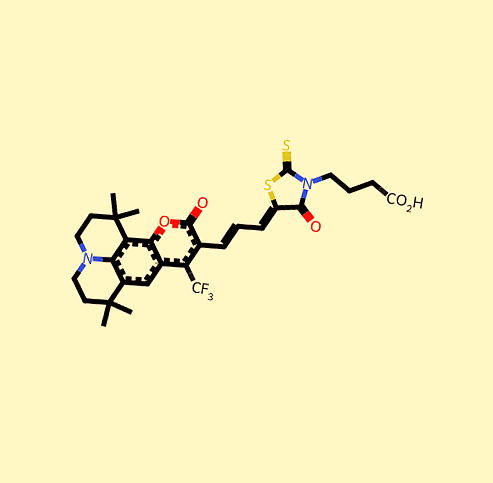 CC1(C)CCN2CCC(C)(C)c3c2c1cc1c(C(F)(F)F)c(C=CC=C2SC(=S)N(CCCC(=O)O)C2=O)c(=O)oc31